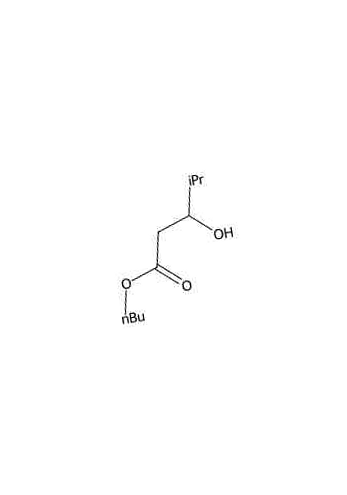 CCCCOC(=O)CC(O)C(C)C